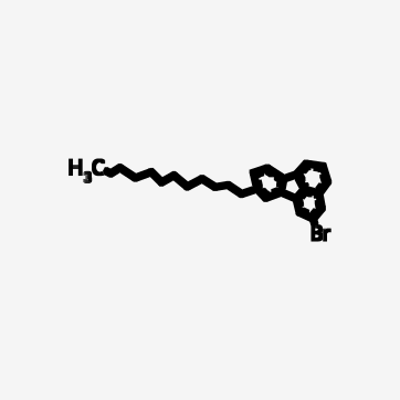 CCCCCCCCCCCCc1ccc2c(c1)-c1cc(Br)cc3cccc-2c13